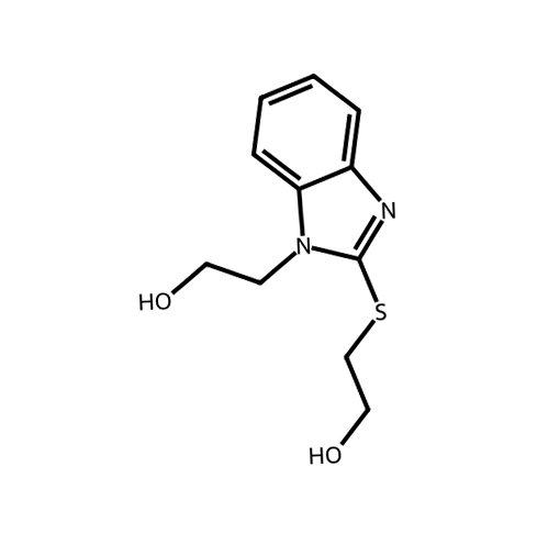 OCCSc1nc2ccccc2n1CCO